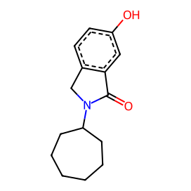 O=C1c2cc(O)ccc2CN1C1CCCCCC1